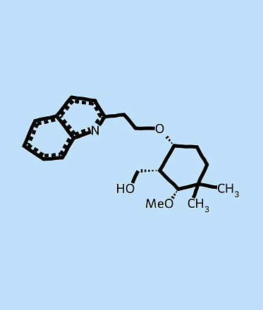 CO[C@@H]1[C@H](CO)[C@H](OCCc2ccc3ccccc3n2)CCC1(C)C